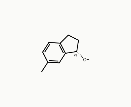 Cc1ccc2c(c1)[C@@H](O)CC2